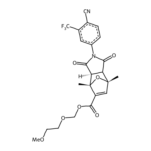 COCCOCOC(=O)C1=C[C@]2(C)O[C@@]1(C)[C@H]1C(=O)N(c3ccc(C#N)c(C(F)(F)F)c3)C(=O)C12